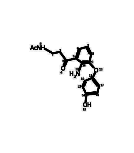 CC(=O)NCCC(=O)c1cccc(Oc2ccc(O)cc2)c1N